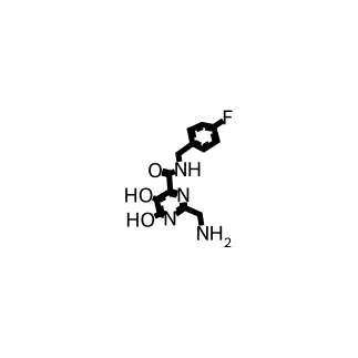 NCc1nc(O)c(O)c(C(=O)NCc2ccc(F)cc2)n1